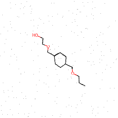 CCCOCC1CCC(COCCO)CC1